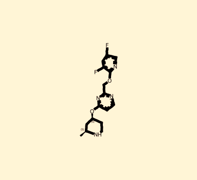 C[C@H]1C[C@@H](Oc2ccnc(COc3ncc(F)cc3F)n2)CCN1